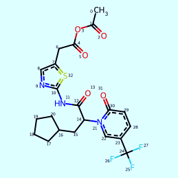 CC(=O)OC(=O)Cc1cnc(NC(=O)C(CC2CCCC2)n2cc(C(F)(F)F)ccc2=O)s1